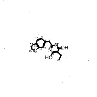 CCc1c(O)nc(Cc2ccc3c(c2)OCO3)nc1O